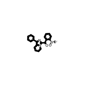 O=C(c1ccccc1[N+](=O)[O-])c1nc(-c2ccccc2)c2ccccn12